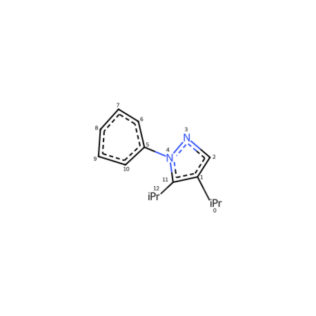 CC(C)c1cnn(-c2ccccc2)c1C(C)C